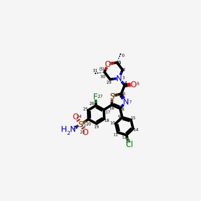 C[C@@H]1CN(C(=O)c2nc(-c3ccc(Cl)cc3)c(-c3ccc(S(N)(=O)=O)cc3F)s2)C[C@H](C)O1